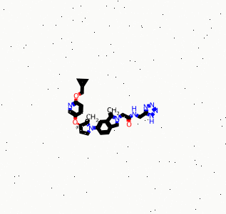 C=C1c2cc(N3CC[C@@H](Oc4ccc(OCC5CC5)nc4)C3=C)ccc2CN1CC(=O)NCc1nnn[nH]1